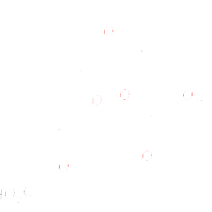 CC1(C)CC(OC(=O)O)OC1=O.O=C1OCCO1